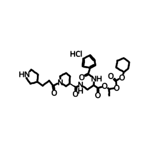 CC(OC(=O)OC1CCCCC1)OC(=O)C(CNC(=O)[C@@H]1CCCN(C(=O)CCC2CCNCC2)C1)NC(=O)c1ccccc1.Cl